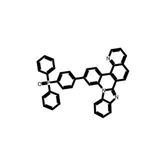 O=P(c1ccccc1)(c1ccccc1)c1ccc(-c2ccc3c4c(ccc5cccnc54)c4nc5ccccc5n4c3c2)cc1